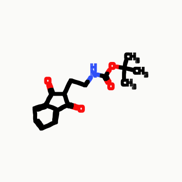 CC(C)(C)OC(=O)NCCC1C(=O)c2ccccc2C1=O